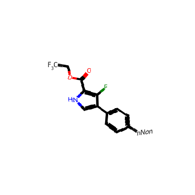 CCCCCCCCCc1ccc(-c2c[nH]c(C(=O)OCC(F)(F)F)c2F)cc1